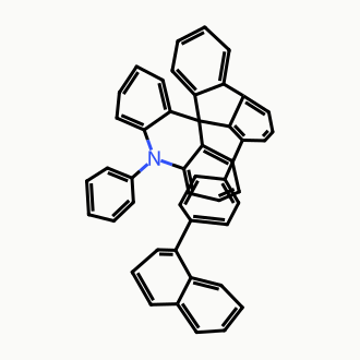 c1ccc(N2c3ccccc3C3(c4ccccc4-c4cccc(-c5ccc(-c6cccc7ccccc67)cc5)c43)c3ccccc32)cc1